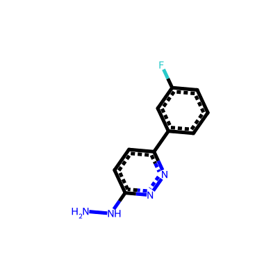 NNc1ccc(-c2cccc(F)c2)nn1